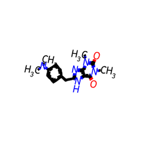 CN(C)c1ccc(Cc2nc3c([nH]2)c(=O)n(C)c(=O)n3C)cc1